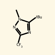 Cn1nc(C(F)(F)F)nc1C(C)(C)C